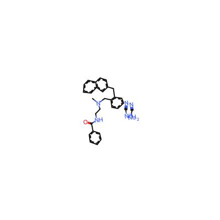 CN(CCNC(=O)c1ccccc1)Cc1ccccc1Cc1ccc2ccccc2c1.N#CN.N#CN